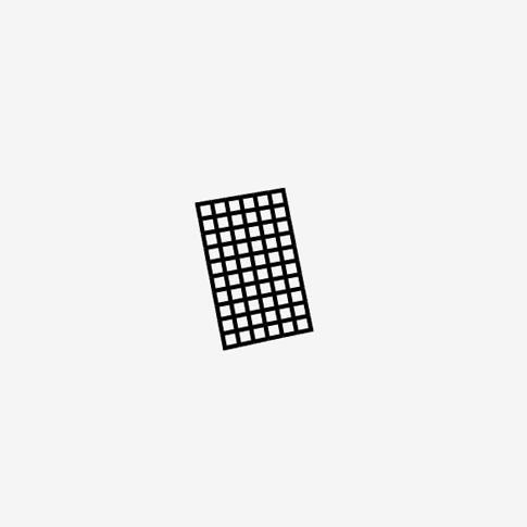 C1C2C3C4C5C6CC7C8C9C%10C%11C%12C%13C%14C%15CC%16C%17C%18C%19C%20CC%21C%22C%23C%24C%25C%26C%27C%28C1C21C32C43C54C67C85C96C%107C%118C%129C%13%10C%14%11C%16%15C%17%12C%18%13C%19%14C%20%21C%22%15C%23%16C%24%17C%25%18C%26%19C%27%20C%281C21C32C45C63C74C85C96C%107C%12%11C%138C%14%15C%169C%17%10C%18%11C%19%12C%201C23C%124C%115C%106C897